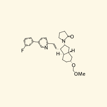 COCO[C@@H]1CC[C@@H]2[C@@H](C1)C[C@@H](N1CCCC1=O)[C@H]2C=Cc1ccc(-c2cccc(F)c2)cn1